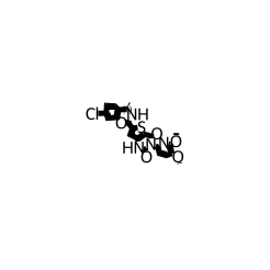 COc1ccc(-n2c(=O)[nH]c3cc(C(=O)N[C@@H](C)c4ccc(Cl)cc4)sc3c2=O)nc1OC